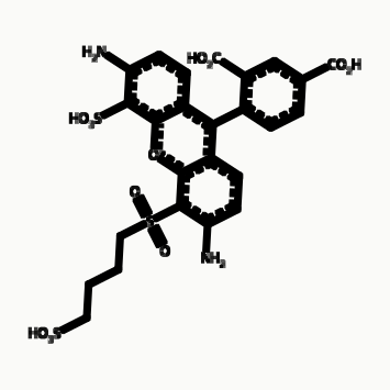 Nc1ccc2c(-c3ccc(C(=O)O)cc3C(=O)O)c3ccc(N)c(S(=O)(=O)CCCCS(=O)(=O)O)c3[o+]c2c1S(=O)(=O)O